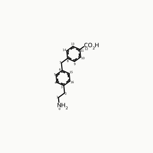 NCCc1ccc(Cc2ccc(C(=O)O)cc2)cc1